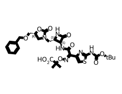 CC(C)(C)OC(=O)Nc1nc(C(=NOC(C)(C)C(=O)O)C(=O)N[C@@H]2C(=O)N[C@H]2CN2C[C@H](COCc3ccccc3)OC2=O)cs1